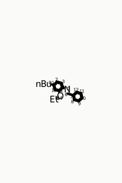 CCCCc1ccc(N=Cc2ccccc2)c(OCC)c1